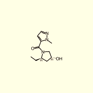 CC[C@@H]1C[C@@H](O)CN1C(=O)c1ccnn1C